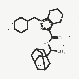 CC(NC(=O)c1nn(CC2CCCCC2)c2c1CCCC2)C12CC3CC(CC(C3)C1)C2